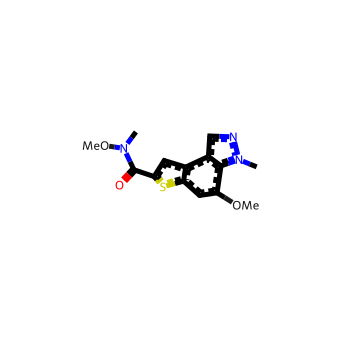 COc1cc2sc(C(=O)N(C)OC)cc2c2cnn(C)c12